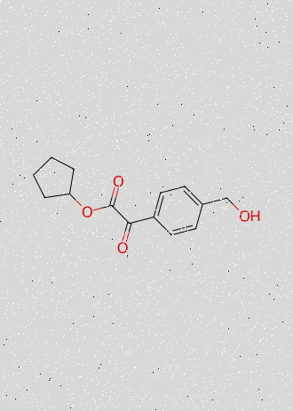 O=C(OC1CCCC1)C(=O)c1ccc(CO)cc1